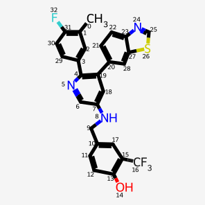 Cc1cc(-c2ncc(NCc3ccc(O)c(C(F)(F)F)c3)cc2-c2ccc3ncsc3c2)ccc1F